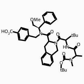 COC[C@@H](c1ccccc1)N(Cc1ccc(C(=O)O)cc1)C(=O)C1Cc2ccccc2CN1C(=O)C(NC(=O)C(C)N(C)C(=O)OC(C)(C)C)C(C)(C)C